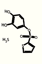 O=S(=O)(Oc1ccc(O)c(O)c1)c1cccs1.S